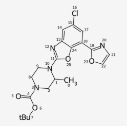 CC1CN(C(=O)OC(C)(C)C)CCN1c1nc2cc(Cl)cc(-c3ncco3)c2o1